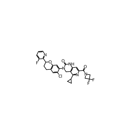 O=C(c1cc2c(c(C3CC3)n1)CN(c1cc3c(cc1Cl)CCC(c1ncccc1F)O3)C(=O)N2)N1CC(F)(F)C1